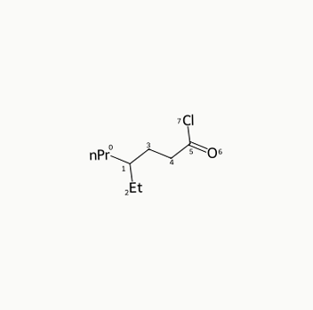 CCCC(CC)CCC(=O)Cl